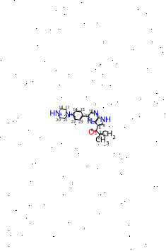 C=C(C)C(=O)c1c[nH]c2ncc(-c3ccc(N4CCNCC4)cc3)nc12